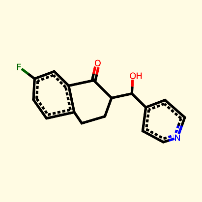 O=C1c2cc(F)ccc2CCC1C(O)c1ccncc1